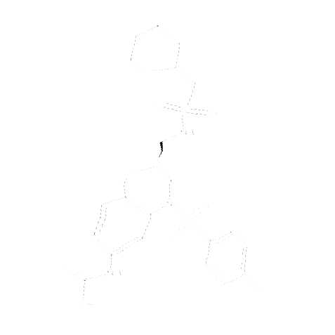 O=C(O)Nc1ccc2c(c1)N(S(=O)(=O)c1ccc(F)cc1)C[C@H](CNS(=O)(=O)CC1CCCCO1)O2